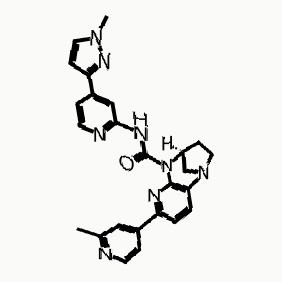 Cc1cc(-c2ccc3c(n2)N(C(=O)Nc2cc(-c4ccn(C)n4)ccn2)[C@H]2CCN3C2)ccn1